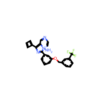 N[N+]12C=CN=CC1=C(C1=CC=C1)N=C2c1cccc(OCc2cccc(C(F)(F)F)c2)c1